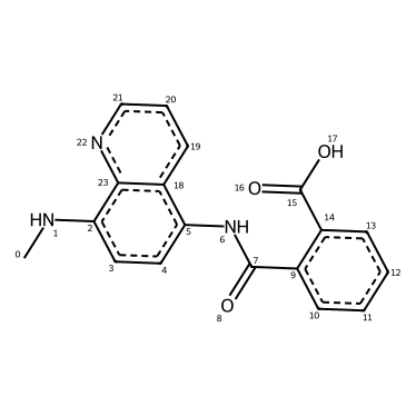 CNc1ccc(NC(=O)c2ccccc2C(=O)O)c2cccnc12